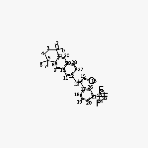 CC1(C)CCC(C)(C)c2cc3cc(/C=C(\C=O)c4cccc(C(F)(F)F)c4)ccc3cc21